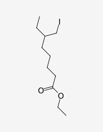 CCOC(=O)CCCCC(CC)CI